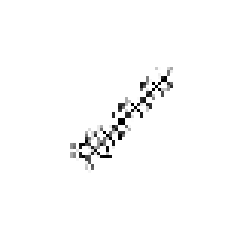 CCC(C(=O)O)(C(=O)O)C(F)(F)C(F)(F)C(F)(F)C(F)(F)C(F)(F)C(F)(F)C(F)(F)C(F)(F)C(F)(F)C(F)(F)F